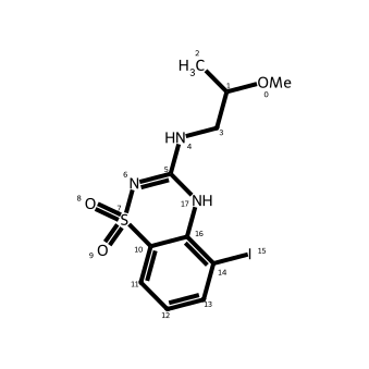 COC(C)CNC1=NS(=O)(=O)c2cccc(I)c2N1